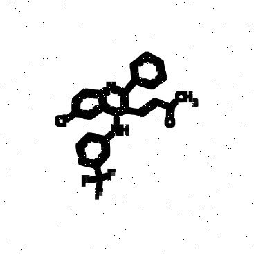 CC(=O)/C=C/c1c(-c2ccccc2)nc2ccc(Cl)cc2c1Nc1cccc(C(F)(F)F)c1